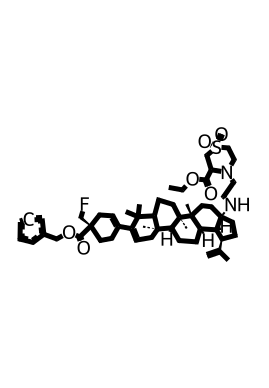 C=C(C)[C@@H]1CC[C@]2(NCCN3CCS(=O)(=O)CC3C(=O)OCC)CC[C@]3(C)[C@H](CC[C@@H]4[C@@]5(C)CC=C(C6=CC[C@@](CF)(C(=O)OCc7ccccc7)CC6)C(C)(C)C5CC[C@]43C)[C@@H]12